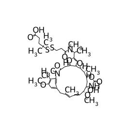 COc1cc2cc(c1Cl)N(C)C(=O)C[C@@H]1OC([C@H](C)N(C)C(=O)CCSSC(C)(C)CCC(=O)O)=C[C@]13O[C@H]3[C@H](C)[C@@H]1C[C@@](O)(NC(=O)O1)[C@H](OC)/C=C/C=C(\C)C2